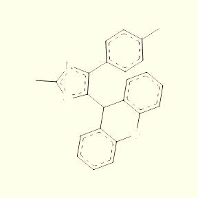 Cc1ccc(-c2nc(C)oc2C2c3ccccc3Oc3ccccc32)cc1